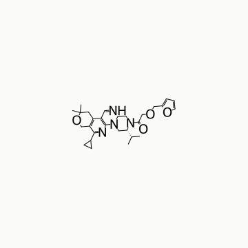 CC(C)[C@@H]1CN(c2nc(C3CC3)c3c(c2C=N)CC(C)(C)OC3)CCN1C(=O)COCc1ccco1